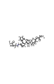 CCC(=O)NC(C)(C)/C=C/n1ncc(C(=O)N[C@H]2C3CC4CC2C[C@](OC(N)=O)(C4)C3)c1-n1cccn1